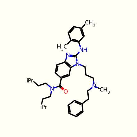 Cc1ccc(C)c(Nc2nc3ccc(C(=O)N(CCC(C)C)CCC(C)C)cc3n2CCCN(C)CCc2ccccc2)c1